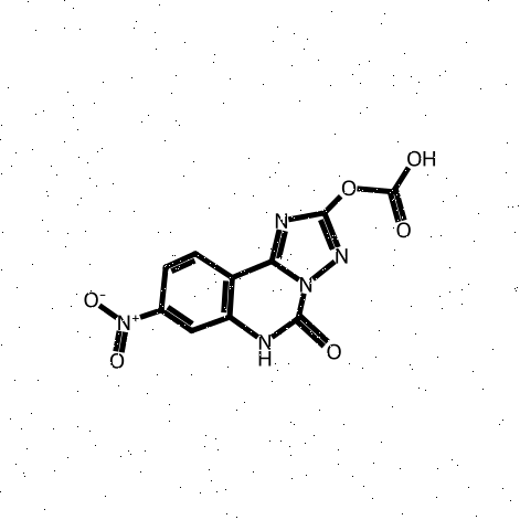 O=C(O)Oc1nc2c3ccc([N+](=O)[O-])cc3[nH]c(=O)n2n1